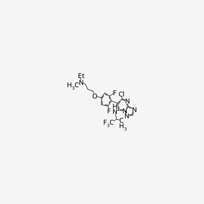 CCN(C)CCCOc1cc(F)c(-c2c(Cl)nc3ncnn3c2NC(C)C(F)(F)F)c(F)c1